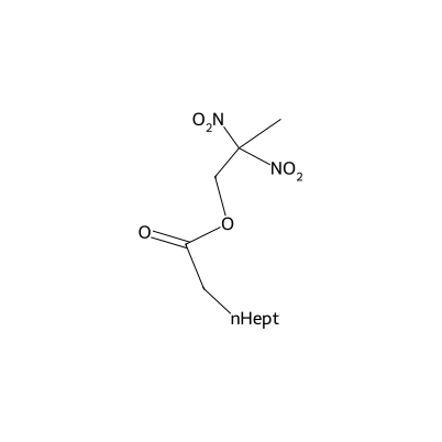 CCCCCCCCC(=O)OCC(C)([N+](=O)[O-])[N+](=O)[O-]